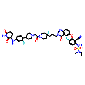 CCN(C)S(=O)(=O)Nc1ccc(F)c(Oc2ccc3ncn(CCCC4(F)CCN(C(=O)CN5CCC(c6ccc(NC7CCC(=O)NC7=O)cc6F)CC5)CC4)c(=O)c3c2)c1C#N